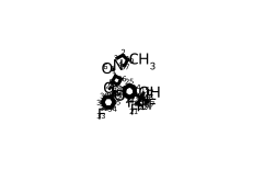 CC1CCN(C(=O)[C@H]2C[C@](c3ccc(C(O)(C(F)(F)F)C(F)(F)F)cc3)(S(=O)(=O)c3ccc(F)cc3)C2)C1